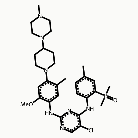 COc1cc(N2CCC(N3CCN(C)CC3)CC2)c(C)cc1Nc1ncc(Cl)c(Nc2ccc(C)cc2P(C)(C)=O)n1